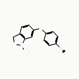 [C-]#[N+]c1ccc(Sc2ccc3c(c2)B(C)OC3)cc1